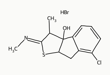 Br.CN=C1SC2Cc3c(Cl)cccc3C2(O)C1C